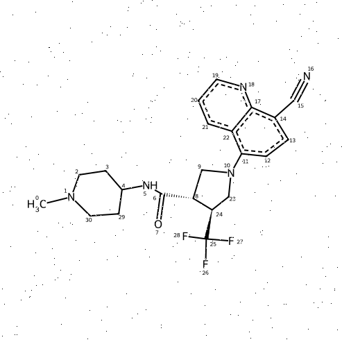 CN1CCC(NC(=O)[C@@H]2CN(c3ccc(C#N)c4ncccc34)C[C@H]2C(F)(F)F)CC1